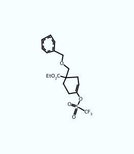 CCOC(=O)C1(COCc2ccccc2)CC=C(OS(=O)(=O)C(F)(F)F)CC1